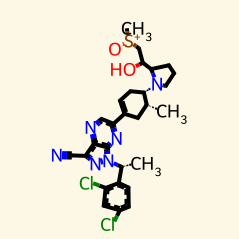 C[C@@H]1CC(c2cnc3c(C#N)nn([C@H](C)c4ccc(Cl)cc4Cl)c3n2)=CC[C@@H]1N1CCCC1C(O)C[S+](C)[O-]